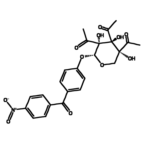 CC(=O)[C@]1(O)[C@@](O)(C(C)=O)CO[C@H](Oc2ccc(C(=O)c3ccc([N+](=O)[O-])cc3)cc2)[C@@]1(O)C(C)=O